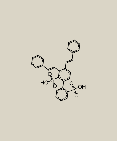 O=S(=O)(O)c1ccccc1-c1ccc(C=Cc2ccccc2)c(C=Cc2ccccc2)c1S(=O)(=O)O